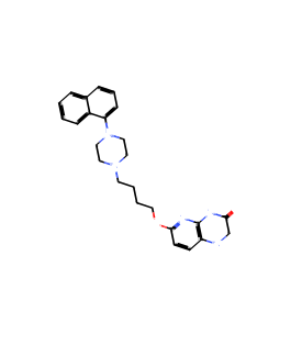 O=C1CNc2ccc(OCCCCN3CCN(c4cccc5ccccc45)CC3)nc2N1